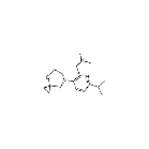 CC(C)c1ccc(N2CCOC3(CC3)C2)c(CN(C)C)n1